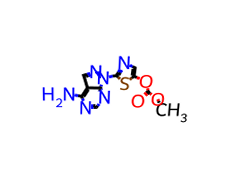 COC(=O)Oc1cnc(-n2ncc3c(N)ncnc32)s1